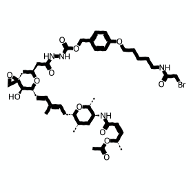 CC(=O)O[C@@H](C)/C=C\C(=O)N[C@@H]1C[C@H](C)[C@H](C/C=C(C)/C=C/[C@H]2O[C@H](CC(=O)NNC(=O)OCc3ccc(OCCCCCNC(=O)CBr)cc3)C[C@@]3(CO3)[C@@H]2O)O[C@@H]1C